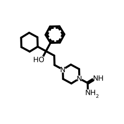 N=C(N)N1CCN(CCC(O)(c2ccccc2)C2CCCCC2)CC1